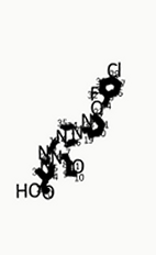 O=C(O)c1cc2n(CC3CCO3)c(CN3CCN(c4cccc(OCc5ccc(Cl)cc5F)n4)CC3)nn2c1